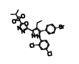 CCc1c(-c2nnc(S(=O)(=O)C(C)C)o2)nn(-c2ccc(Cl)cc2Cl)c1-c1ccc(Br)cc1